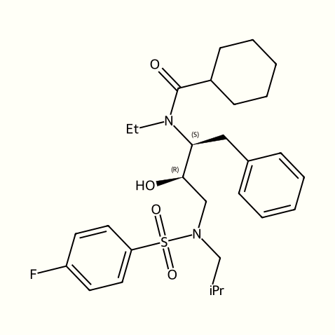 CCN(C(=O)C1CCCCC1)[C@@H](Cc1ccccc1)[C@H](O)CN(CC(C)C)S(=O)(=O)c1ccc(F)cc1